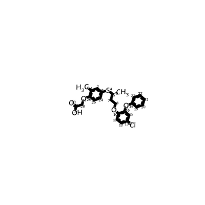 Cc1cc(S[C@H](C)CCOc2ccc(Cl)cc2Oc2ccccc2)ccc1OCC(=O)O